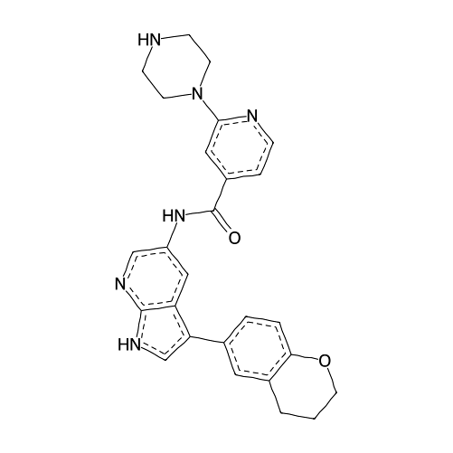 O=C(Nc1cnc2[nH]cc(-c3ccc4c(c3)CCCO4)c2c1)c1ccnc(N2CCNCC2)c1